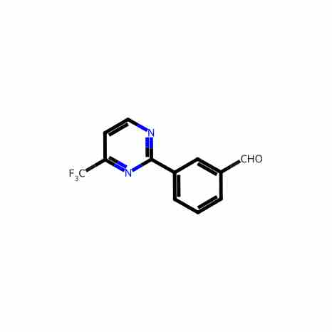 O=Cc1cccc(-c2nccc(C(F)(F)F)n2)c1